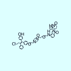 O=C1CCC(N2Cc3c(NCCOCCC(=O)N4CCN(CCOc5ccc(C(=C(CCCl)c6ccccc6)c6ccc(O)cc6)cc5)CC4)cccc3C2=O)C(=O)N1